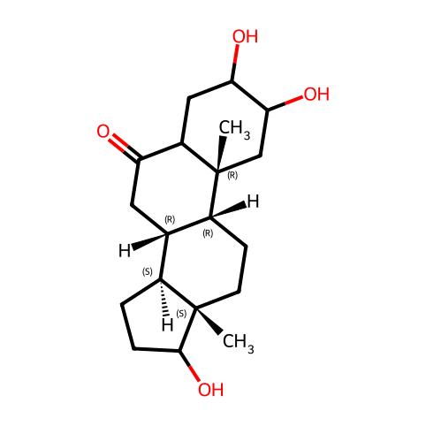 C[C@]12CC(O)C(O)CC1C(=O)C[C@@H]1[C@H]2CC[C@]2(C)C(O)CC[C@@H]12